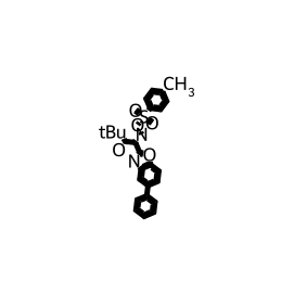 Cc1ccc(S(=O)(=O)O/N=C(\C(=O)C(C)(C)C)c2nc3cc(-c4ccccc4)ccc3o2)cc1